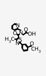 CC(=O)c1cccc(-c2nc(C)c(C(=O)N(CC(=O)O)Cc3ccccn3)s2)c1